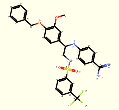 COc1cc(C(CNS(=O)(=O)c2cccc(C(F)(F)F)c2)Nc2ccc(C(=N)N)cc2)ccc1OCc1ccccc1